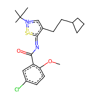 COc1ccc(Cl)cc1C(=O)N=c1sn(C(C)(C)C)cc1CCC1CCC1